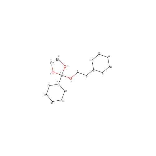 CCO[Si](OCC)(OCCC1CCCCC1)C1CCCCC1